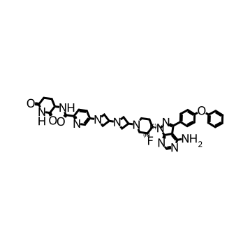 Nc1ncnc2c1c(-c1ccc(Oc3ccccc3)cc1)nn2[C@H]1CCN(C2CN(C3CN(c4ccc(C(=O)NC5CCC(=O)NC5=O)nc4)C3)C2)C[C@H]1F